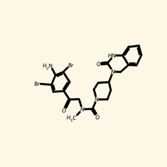 CN(CC(=O)c1cc(Br)c(N)c(Br)c1)C(=O)N1CCC(N2Cc3ccccc3NC2=O)CC1